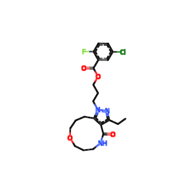 CCc1nn(CCCOC(=O)c2cc(Cl)ccc2F)c2c1C(=O)NCCCOCCC2